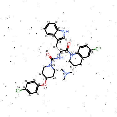 CN(C)C[C@H]1Cc2cc(Cl)ccc2N(C(=O)[C@@H](Cc2c[nH]c3ccccc23)NC(=O)N2CCC(Oc3ccc(Cl)cc3)CC2)C1